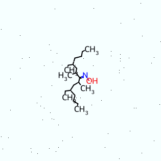 CCCCC(CC)CC(C)C(=NO)C(C)CC(CC)CCCC